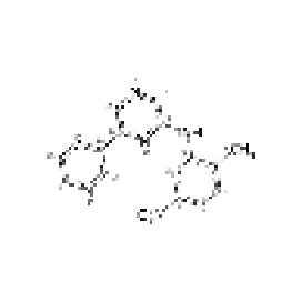 Cc1ccc([N+](=O)[O-])cc1Nc1cncc(-c2cccnc2)n1